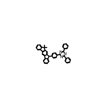 CC1(C)c2ccccc2-c2cc3c(cc21)C(c1ccc(-c2nc(-c4ccccc4)nc(-c4ccccc4)n2)cc1)c1ccccc1-3